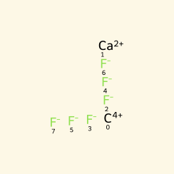 [C+4].[Ca+2].[F-].[F-].[F-].[F-].[F-].[F-]